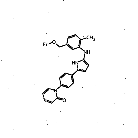 CCOCc1ccc(C)c(Nc2ccc(-c3ccc(-n4ccccc4=O)cc3)[nH]2)c1